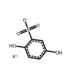 O=S(=O)([O-])c1cc(O)ccc1O.[K+]